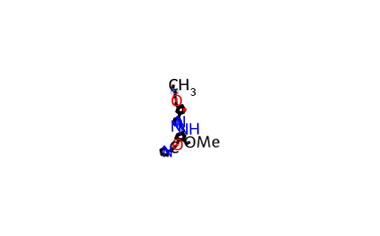 C/C=C/COCc1cccc(-c2ccnc(Nc3ccc(OCCN4CCCC4)c(COC)c3)n2)c1